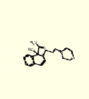 NC(=O)C1(O)c2ccccc2C=CC1CCCN1CCOCC1